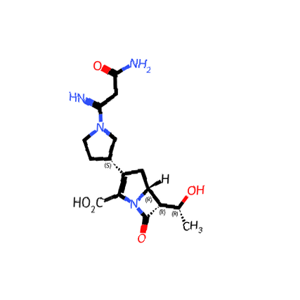 C[C@@H](O)[C@@H]1C(=O)N2C(C(=O)O)=C([C@@H]3CCN(C(=N)CC(N)=O)C3)C[C@H]12